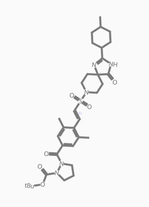 Cc1cc(C(=O)N2CCCN2C(=O)OC(C)(C)C)cc(C)c1/C=C/S(=O)(=O)N1CCC2(CC1)N=C(C1CCC(C)CC1)NC2=O